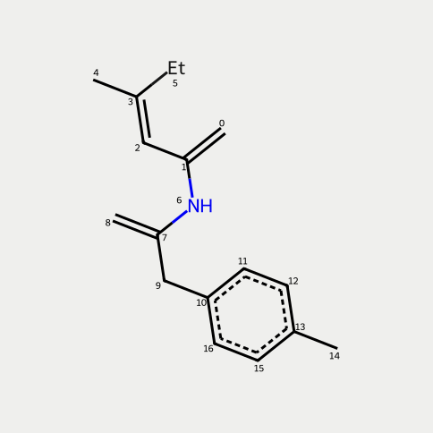 C=C(/C=C(/C)CC)NC(=C)Cc1ccc(C)cc1